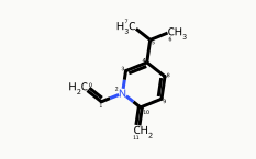 C=CN1C=C(C(C)C)C=CC1=C